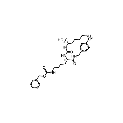 NCCCCC(NC(=O)N[C@H](CCCCNC(=O)OCc1ccccc1)C(=O)NCc1ccc(Cl)cc1)C(=O)O